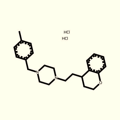 Cc1ccc(CN2CCN(CCC3CCOc4ccccc43)CC2)cc1.Cl.Cl